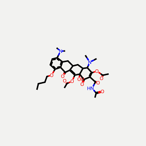 CCCCOc1ccc(N(C)C)c2c1C(=O)C1=C(OC(C)=O)C3(O)C(=O)C(C(=O)NC(C)=O)=C(OC(C)=O)C(N(C)C)C3CC1C2